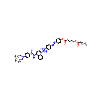 C=CC(=O)OCCCCC(=O)Oc1ccc(/N=N/c2ccc(NNc3ccc(NNc4ccc(N(CC)CC)cc4)c4ccccc34)cc2)cc1